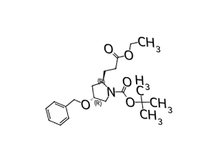 CCOC(=O)CC[C@@H]1C[C@@H](OCc2ccccc2)CN1C(=O)OC(C)(C)C